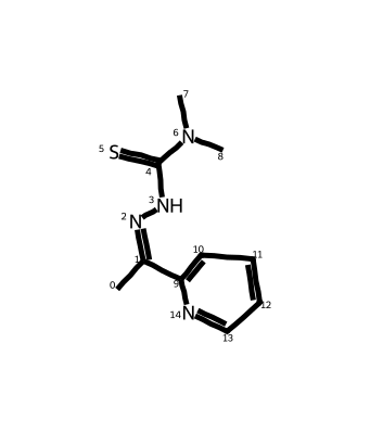 C/C(=N/NC(=S)N(C)C)c1ccccn1